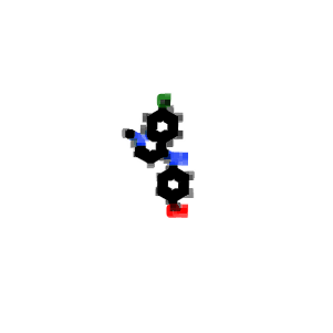 C[n+]1ccc(Nc2ccc(O)cc2)c2ccc(Cl)cc21